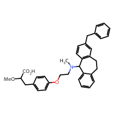 COC(Cc1ccc(OCCN(C)C2c3ccccc3CCc3cc(Cc4ccccc4)ccc32)cc1)C(=O)O